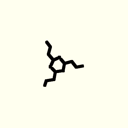 CCCC1OC(CCC)OC(CCC)O1